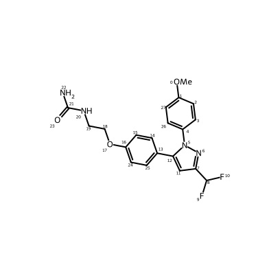 COc1ccc(-n2nc(C(F)F)cc2-c2ccc(OCCNC(N)=O)cc2)cc1